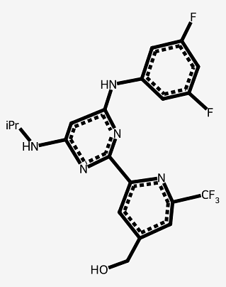 CC(C)Nc1cc(Nc2cc(F)cc(F)c2)nc(-c2cc(CO)cc(C(F)(F)F)n2)n1